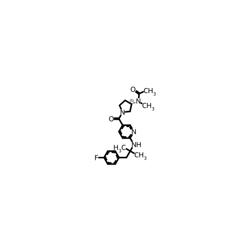 CC(=O)N(C)[C@H]1CCN(C(=O)c2ccc(NC(C)(C)Cc3ccc(F)cc3)nc2)C1